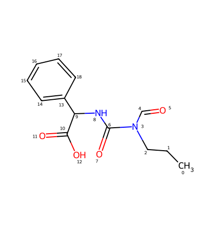 CCCN(C=O)C(=O)NC(C(=O)O)c1ccccc1